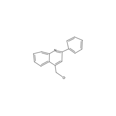 [O]Cc1cc(-c2ccccc2)nc2ccccc12